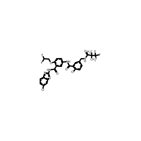 CC(C)(C(=O)NCc1ccc(Cl)c(C(=O)Nc2ccc(OCC(F)F)c(C(=O)Nc3nc4ccc(Cl)cc4s3)c2)c1)C(F)(F)F